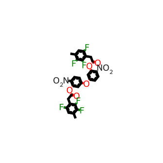 Cc1cc(F)c(CC(=O)Oc2cc(Oc3ccc([N+](=O)[O-])c(OC(=O)Cc4c(F)cc(C)c(F)c4F)c3)ccc2[N+](=O)[O-])c(F)c1F